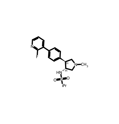 CC(C)S(=O)(=O)N[C@H]1CN(C)C[C@@H]1c1ccc(-c2cccnc2F)cc1